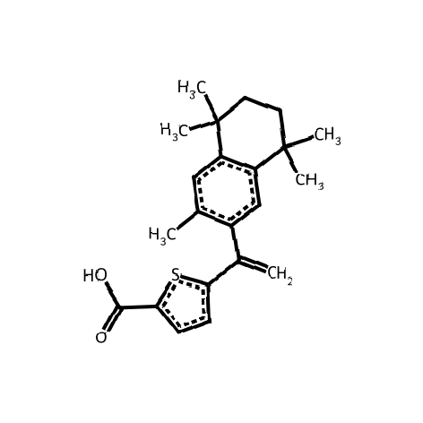 C=C(c1ccc(C(=O)O)s1)c1cc2c(cc1C)C(C)(C)CCC2(C)C